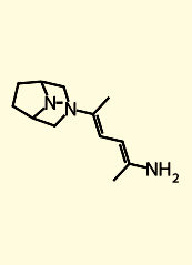 C/C(N)=C\C=C(/C)N1CC2CCC(C1)N2C